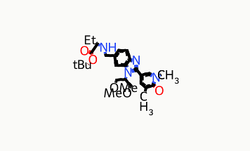 CCC(NCc1ccc2nc(-c3cc(C)c(=O)n(C)c3)n(C(COC)COC)c2c1)C(=O)OC(C)(C)C